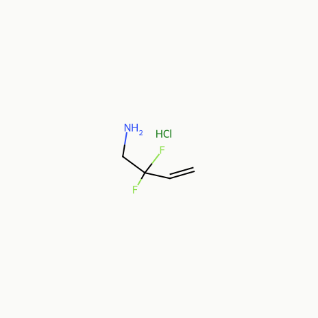 C=CC(F)(F)CN.Cl